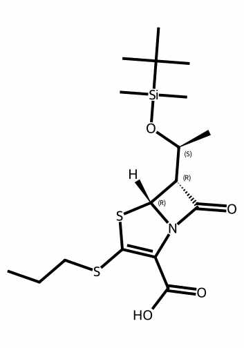 CCCSC1=C(C(=O)O)N2C(=O)[C@@H]([C@H](C)O[Si](C)(C)C(C)(C)C)[C@H]2S1